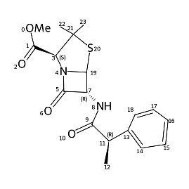 COC(=O)[C@@H]1N2C(=O)[C@@H](NC(=O)[C@H](C)c3ccccc3)C2SC1(C)C